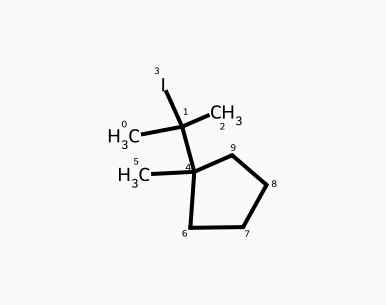 CC(C)(I)C1(C)CCCC1